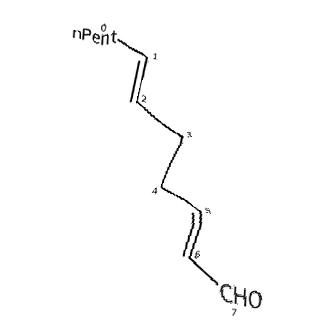 CCCCCC=CCCC=CC=O